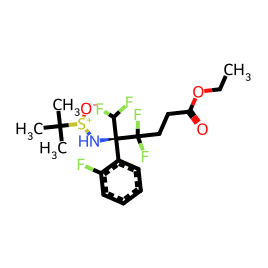 CCOC(=O)CCC(F)(F)[C@](N[S+]([O-])C(C)(C)C)(c1ccccc1F)C(F)F